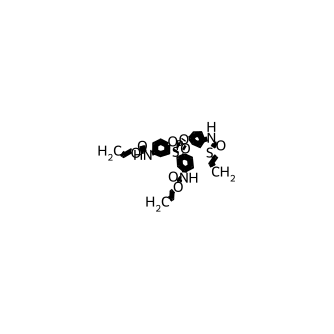 C=CCOC(=O)Nc1ccc(OP(=S)(Oc2ccc(NC(=O)OCC=C)cc2)Oc2ccc(NC(=O)SCC=C)cc2)cc1